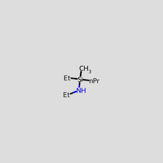 CCC[Si](C)(CC)NCC